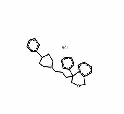 Cl.c1ccc(C2CCN(CCCC3(c4ccccc4)COCc4ccccc43)CC2)cc1